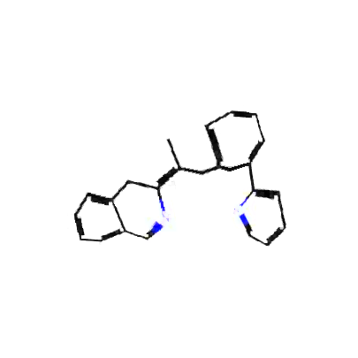 C/C(Cc1ccccc1-c1ccccn1)=C1\Cc2ccccc2C=N1